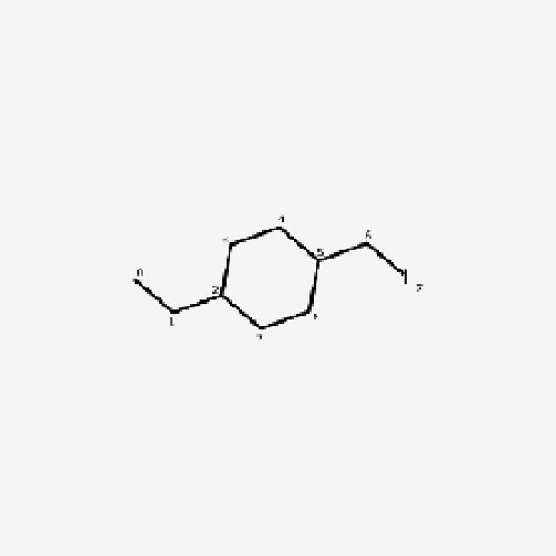 CCC1CCC(CI)CC1